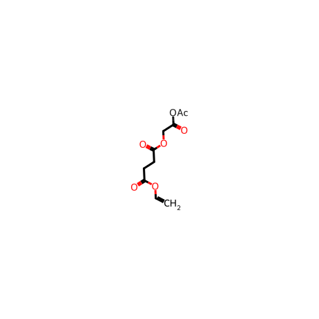 C=COC(=O)CCC(=O)OCC(=O)OC(C)=O